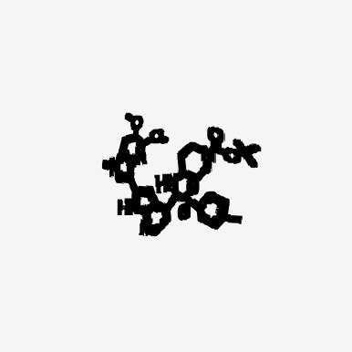 COc1cc2c(nc1OC)c(-c1cc3c(C(NC4CCN(C(=O)OC(C)(C)C)CC4)S(=O)(=O)c4ccc(C)cc4)ccnc3[nH]1)cn2C